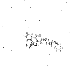 CC(=O)N1CCCC[C@@H]1COCNc1ccc(-c2ccccc2OC(F)(F)F)c(Cl)c1